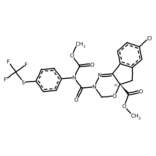 COC(=O)N(C(=O)N1CO[C@@]2(C(=O)OC)Cc3cc(Cl)ccc3C2=N1)c1ccc(SC(F)(F)F)cc1